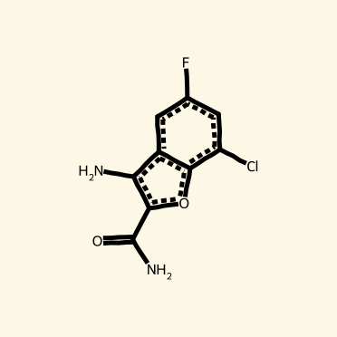 NC(=O)c1oc2c(Cl)cc(F)cc2c1N